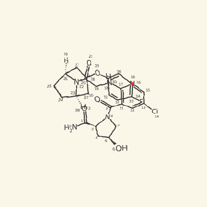 NC(=O)[C@@H]1C[C@H](O)CN1C(=O)c1cc(Cl)cnc1NCC(=O)N1[C@@H]2CC[C@H]1CC(Oc1ccc(F)cc1)C2